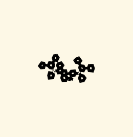 CC1(C)c2cc(N(c3ccccc3)c3cc(-c4ccccc4)cc(-c4ccccc4)c3)ccc2-c2cc3c4ccccc4c(N(c4ccccc4)c4cc(-c5ccccc5)cc(-c5ccccc5)c4)cc3c3cccc1c23